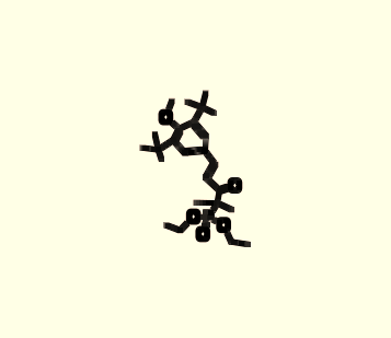 CCOP(=O)(OCC)C(C)(C)C(=O)C=Cc1cc(C(C)(C)C)c(OC)c(C(C)(C)C)c1